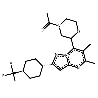 CC(=O)N1CCOC(c2c(C)c(C)nc3cc([C@H]4CC[C@H](C(F)(F)F)CC4)nn23)C1